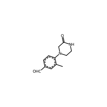 Cc1cc(C=O)ccc1N1CCNC(=O)C1